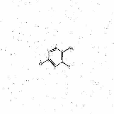 CCc1cc(Cl)cnc1N